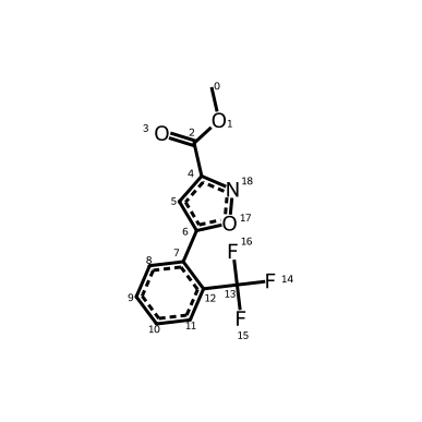 COC(=O)c1cc(-c2ccccc2C(F)(F)F)on1